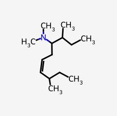 CCC(C)/C=C\CC(C(C)CC)N(C)C